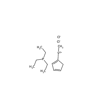 CCP(CC)CC.[CH3][V+2][C]1=CC=CC1.[Cl-].[Cl-]